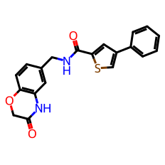 O=C1COc2ccc(CNC(=O)c3cc(-c4ccccc4)cs3)cc2N1